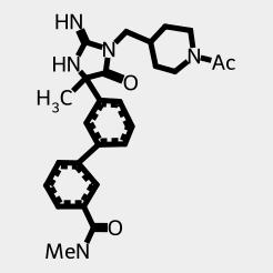 CNC(=O)c1cccc(-c2cccc(C3(C)NC(=N)N(CC4CCN(C(C)=O)CC4)C3=O)c2)c1